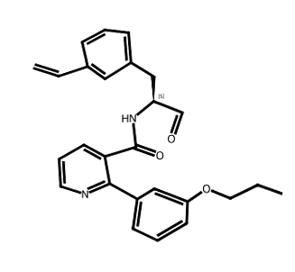 C=Cc1cccc(C[C@@H](C=O)NC(=O)c2cccnc2-c2cccc(OCCC)c2)c1